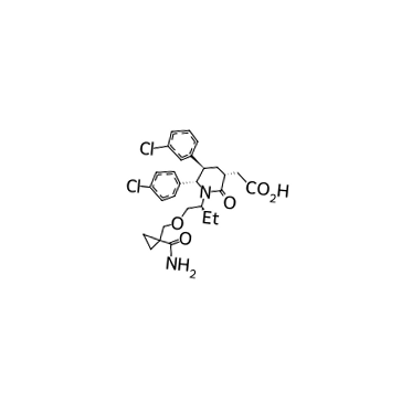 CC[C@@H](COCC1(C(N)=O)CC1)N1C(=O)[C@@H](CC(=O)O)C[C@H](c2cccc(Cl)c2)[C@H]1c1ccc(Cl)cc1